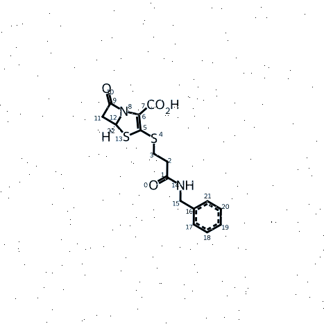 O=C(CCSC1=C(C(=O)O)N2C(=O)C[C@@H]2S1)NCc1ccccc1